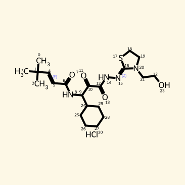 CC(C)(C)/C=C/C(=O)NC(C(=O)C(=O)N/N=C1\SCCN1CCO)C1CCCCC1.Cl